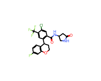 O=C1CC(NC(=O)c2cc(Cl)c(C(F)(F)F)cc2C2CCOc3cc(F)ccc32)CN1